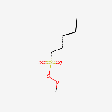 CCCCCS(=O)(=O)OOC